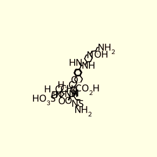 CC1(C)[C@H](NC(=O)/C(=N\O[C@](C)(C(=O)O)[C@H]2CCc3cc(C(=N)NC4CCN(C[C@@H](O)CN)CC4)ccc3O2)c2csc(N)n2)C(=O)N1OS(=O)(=O)O